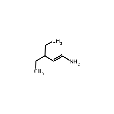 CCC(C=CN)CC